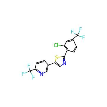 FC(F)(F)c1ccc(-c2ncc(-c3ccc(C(F)(F)F)nc3)s2)c(Cl)c1